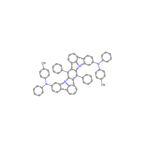 N#Cc1ccc(N(c2ccccc2)c2ccc3c4cccc5c6c(-c7ccccc7)c7c(c(-c8ccccc8)c6n(c3c2)c45)c2cccc3c4ccc(N(c5ccccc5)c5ccc(C#N)cc5)cc4n7c32)cc1